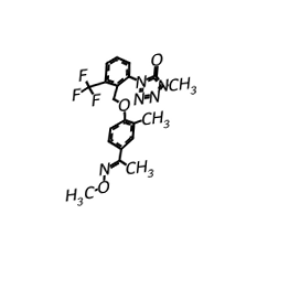 CO/N=C(\C)c1ccc(OCc2c(-n3nnn(C)c3=O)cccc2C(F)(F)F)c(C)c1